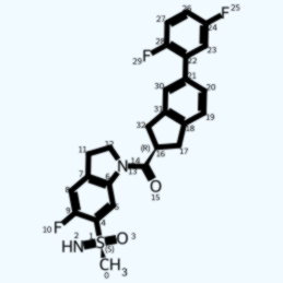 C[S@](=N)(=O)c1cc2c(cc1F)CCN2C(=O)[C@@H]1Cc2ccc(-c3cc(F)ccc3F)cc2C1